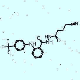 N#CCCCC(=O)NNC(=O)c1ccccc1Nc1ccc(C(F)(F)F)cc1